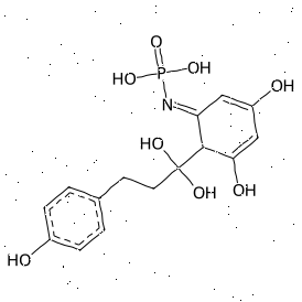 O=P(O)(O)/N=C1\C=C(O)C=C(O)C1C(O)(O)CCc1ccc(O)cc1